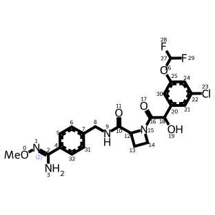 CO/N=C(\N)c1ccc(CNC(=O)C2CCN2C(=O)C(O)c2cc(Cl)cc(OC(F)F)c2)cc1